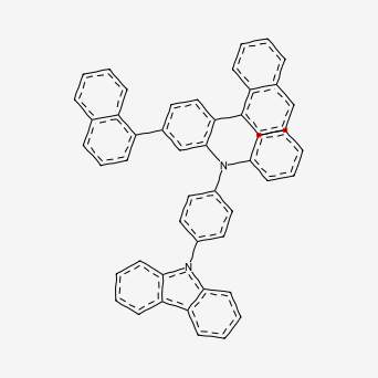 c1ccc(N(c2ccc(-n3c4ccccc4c4ccccc43)cc2)c2cc(-c3cccc4ccccc34)ccc2-c2cccc3ccccc23)cc1